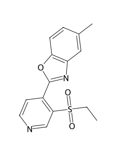 CCS(=O)(=O)c1cnccc1-c1nc2cc(C)ccc2o1